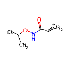 C=CC(=O)NOC(C)CC